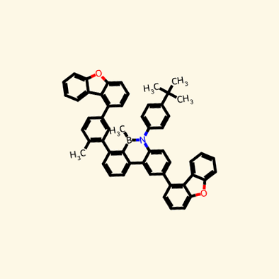 CB1c2c(-c3cc(-c4cccc5oc6ccccc6c45)ccc3C)cccc2-c2cc(-c3cccc4oc5ccccc5c34)ccc2N1c1ccc(C(C)(C)C)cc1